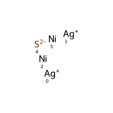 [Ag+].[Ag+].[Ni].[Ni].[S-2]